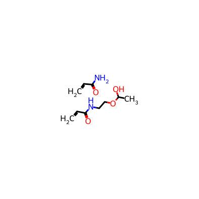 C=CC(=O)NCCOC(C)O.C=CC(N)=O